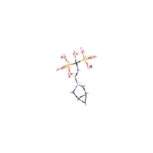 O=P(O)(O)C(O)(CCN1CC2CC2C1)P(=O)(O)O